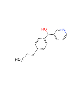 O=C(O)/C=C/c1ccc(C(O)c2cccnc2)cc1